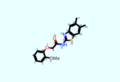 COc1ccccc1OCC(=O)Nc1nc2cc(C)c(C)cc2s1